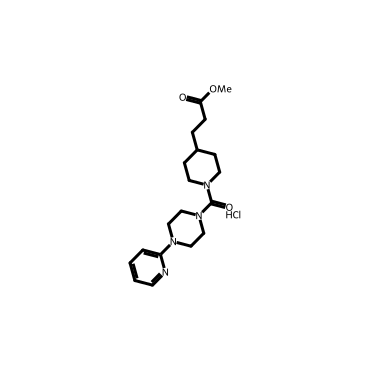 COC(=O)CCC1CCN(C(=O)N2CCN(c3ccccn3)CC2)CC1.Cl